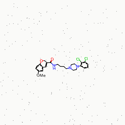 COc1ccc2c(c1)C=C(C(=O)NCCCCN1CCN(c3cccc(Cl)c3Cl)CC1)CO2